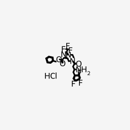 Cl.NC(CC(=O)N1CCn2c(C(F)(F)F)nc(C(=O)OCc3ccccc3)c2C1)Cc1cc(F)c(F)cc1F